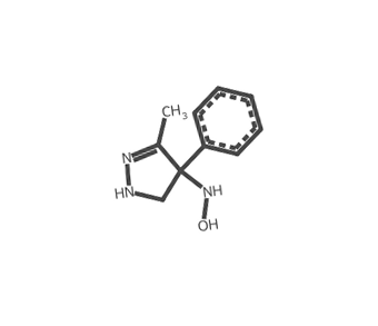 CC1=NNCC1(NO)c1ccccc1